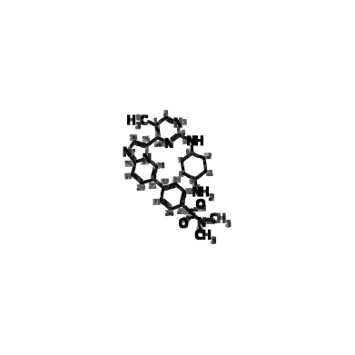 Cc1cnc(NC2CCC(N)CC2)nc1-c1cnc2ccc(-c3ccc(S(=O)(=O)N(C)C)cc3)cn12